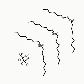 CCCCCCC[CH2][Sn+2][CH2]CCCCCCC.CCCCCCC[CH2][Sn+2][CH2]CCCCCCC.CCCCCCC[CH2][Sn+2][CH2]CCCCCCC.[O-]C([O-])([O-])C([O-])([O-])[O-]